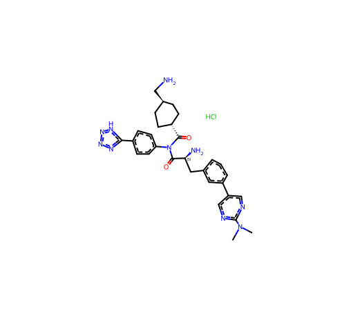 CN(C)c1ncc(-c2cccc(C[C@H](N)C(=O)N(c3ccc(-c4nnn[nH]4)cc3)C(=O)[C@H]3CC[C@H](CN)CC3)c2)cn1.Cl